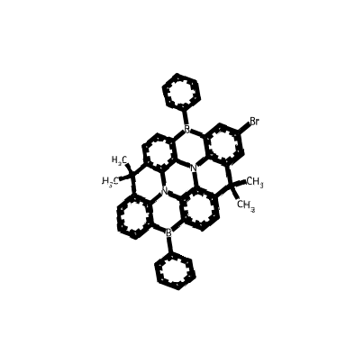 CC1(C)c2cccc3c2N2c4c(ccc5c4N4c6c(cc(Br)cc6C5(C)C)B(c5ccccc5)c5ccc1c2c54)B3c1ccccc1